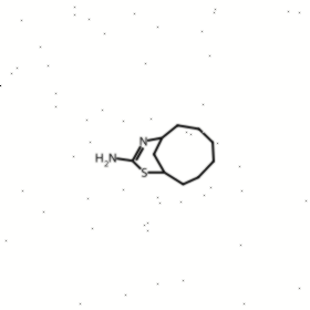 NC1=NC2CCCCCCC(C2)S1